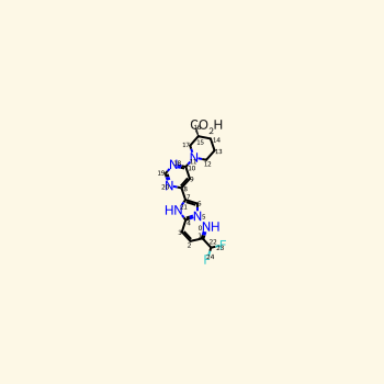 N=C(/C=C\c1ncc(-c2cc(N3CCC[C@H](C(=O)O)C3)ncn2)[nH]1)C(F)F